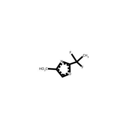 CC(F)(F)c1nc(C(=O)O)co1